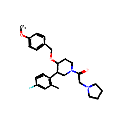 Cc1cc(F)ccc1C1CN(C(=O)CN2CCCC2)CCC1OCc1ccc(OC(F)(F)F)cc1